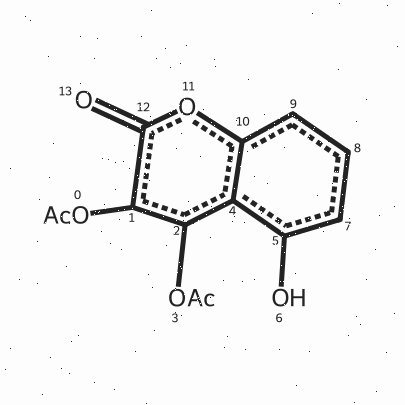 CC(=O)Oc1c(OC(C)=O)c2c(O)cccc2oc1=O